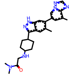 Cc1cc2c(C3CCC(NCC(=O)N(C)C)CC3)n[nH]c2cc1-c1cc(C)c2ncnn2c1